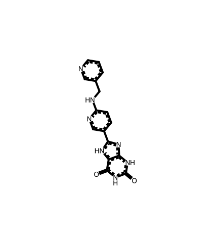 O=c1[nH]c(=O)c2[nH]c(-c3ccc(NCc4cccnc4)nc3)nc2[nH]1